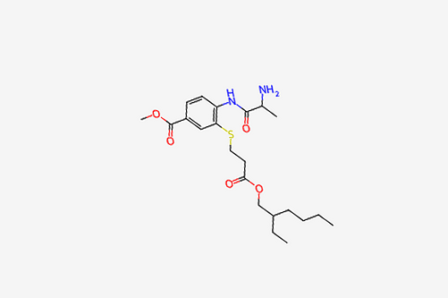 CCCCC(CC)COC(=O)CCSc1cc(C(=O)OC)ccc1NC(=O)C(C)N